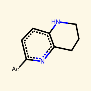 CC(=O)c1ccc2c(n1)CCCN2